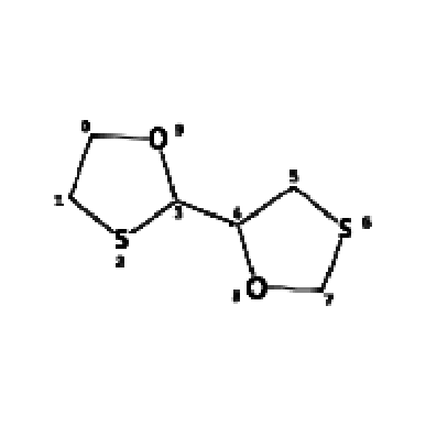 C1CSC([C]2CSCO2)O1